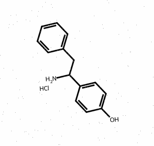 Cl.NC(Cc1ccccc1)c1ccc(O)cc1